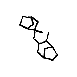 CC1C2CCC(C2)CC1CC1(C)CC2CCC1C2